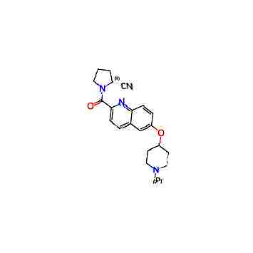 CC(C)N1CCC(Oc2ccc3nc(C(=O)N4CCC[C@@H]4C#N)ccc3c2)CC1